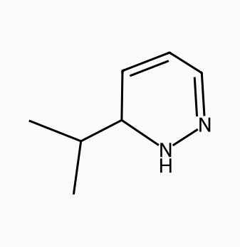 CC(C)C1C=CC=NN1